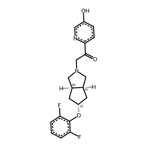 O=C(CN1C[C@H]2C[C@H](Oc3c(F)cccc3F)C[C@H]2C1)c1ccc(O)cn1